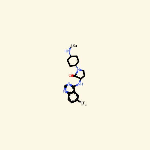 CC(C)(C)N[C@H]1CC[C@@H](N2CCC(Nc3ncnc4ccc(C(F)(F)F)cc34)C2=O)CC1